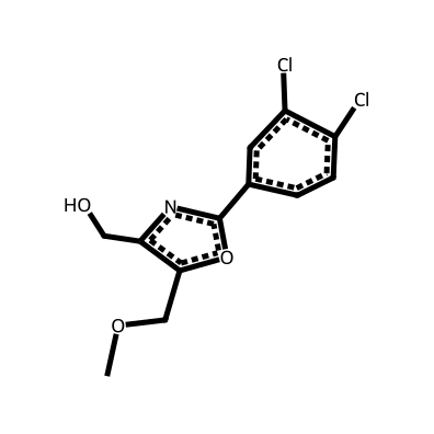 COCc1oc(-c2ccc(Cl)c(Cl)c2)nc1CO